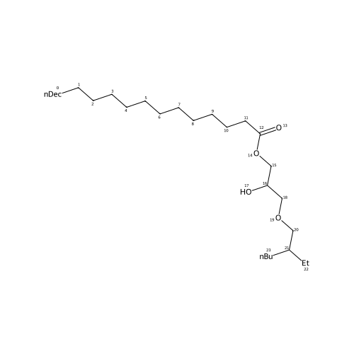 CCCCCCCCCCCCCCCCCCCCCC(=O)OCC(O)COCC(CC)CCCC